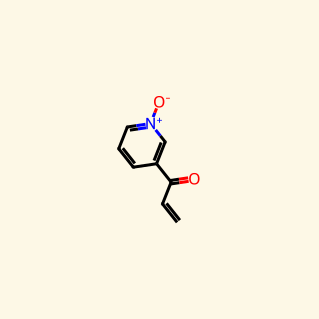 C=CC(=O)c1ccc[n+]([O-])c1